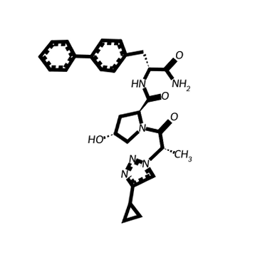 C[C@@H](C(=O)N1C[C@H](O)C[C@H]1C(=O)N[C@H](Cc1ccc(-c2ccccc2)cc1)C(N)=O)n1cc(C2CC2)nn1